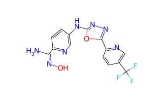 N/C(=N/O)c1ccc(Nc2nnc(-c3ccc(C(F)(F)F)cn3)o2)cn1